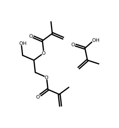 C=C(C)C(=O)O.C=C(C)C(=O)OCC(CO)OC(=O)C(=C)C